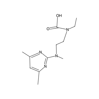 CCN(CCN(C)c1nc(C)cc(C)n1)C(=O)O